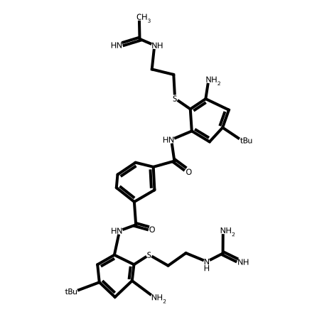 CC(=N)NCCSc1c(N)cc(C(C)(C)C)cc1NC(=O)c1cccc(C(=O)Nc2cc(C(C)(C)C)cc(N)c2SCCNC(=N)N)c1